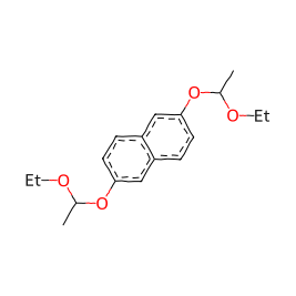 CCOC(C)Oc1ccc2cc(OC(C)OCC)ccc2c1